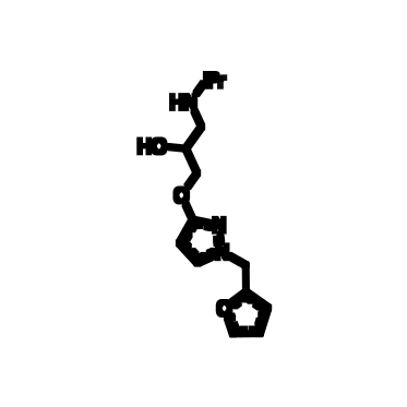 CC(C)NCC(O)COc1ccn(Cc2ccco2)n1